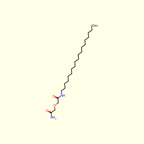 CCCCCCCCCCCCCCCCCCCCCCCCCCCCNC(=O)COCC(N)=O